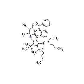 CCCCC(CC)CN(CC(CC)CCCC)c1nc(C(C)(C)C)c(/C=C2\C(=O)N(N(C(=O)c3ccccc3)c3ccccc3)C(=O)C(C#N)=C2C)s1